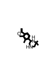 C=C1OCc2c1ccc(C1CNCC(C)(C)N1)c2C